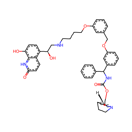 O=C(NC(c1ccccc1)c1cccc(OCc2cccc(OCCCCNC[C@@H](O)c3ccc(O)c4[nH]c(=O)ccc34)c2)c1)O[C@H]1CN2CCC1CC2